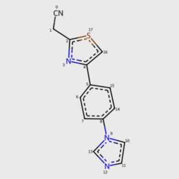 N#CCc1nc(-c2ccc(-n3ccnc3)cc2)cs1